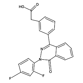 O=C(O)Cc1cccc(-c2nn(-c3ccc(F)cc3F)c(=O)c3ccccc23)c1